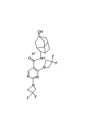 O=C(N[C@H]1C2CC3CC1C[C@@](O)(C3)C2)c1cnc(N2CC(F)(F)C2)nc1N1CC(F)(F)C1